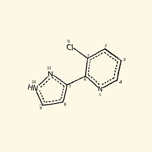 Clc1cccnc1-c1c[c][nH]n1